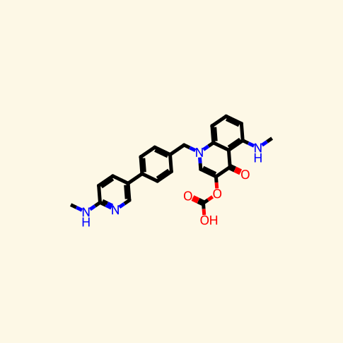 CNc1ccc(-c2ccc(Cn3cc(OC(=O)O)c(=O)c4c(NC)cccc43)cc2)cn1